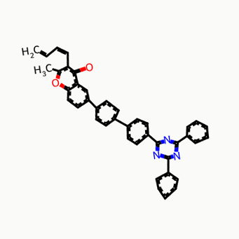 C=C/C=C\c1c(C)oc2ccc(-c3ccc(-c4ccc(-c5nc(-c6ccccc6)nc(-c6ccccc6)n5)cc4)cc3)cc2c1=O